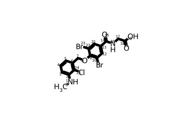 CNc1cccc(COc2c(Br)cc(C(=O)NCC(=O)O)cc2Br)c1Cl